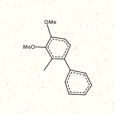 COc1ccc(-c2ccccc2)c(C)c1OC